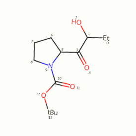 [CH2]CC(O)C(=O)C1CCCN1C(=O)OC(C)(C)C